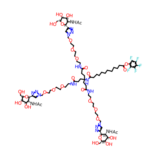 CC(=O)N[C@@H]1[C@@H](O)[C@@H](O)[C@@H](CO)O[C@H]1c1cn(COCCOCCOCCNC(=O)CCC(CCC(=O)NCCOCCOCCOCn2cc([C@@H]3O[C@H](CO)[C@H](O)[C@H](O)[C@H]3NC(C)=O)nn2)(CCC(=O)NCCOCCOCCOCn2cc([C@@H]3O[C@H](CO)[C@H](O)[C@H](O)[C@H]3NC(C)=O)nn2)NC(=O)CCCCCCCCCCC(=O)Oc2c(F)c(F)c(F)c(F)c2F)nn1